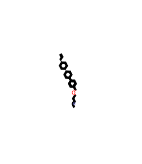 C=CC[C@H]1CC[C@H](C2CCC(c3ccc(COCC/C=C/C)cc3)CC2)CC1